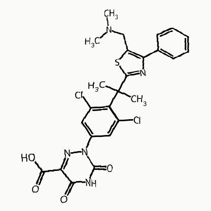 CN(C)Cc1sc(C(C)(C)c2c(Cl)cc(-n3nc(C(=O)O)c(=O)[nH]c3=O)cc2Cl)nc1-c1ccccc1